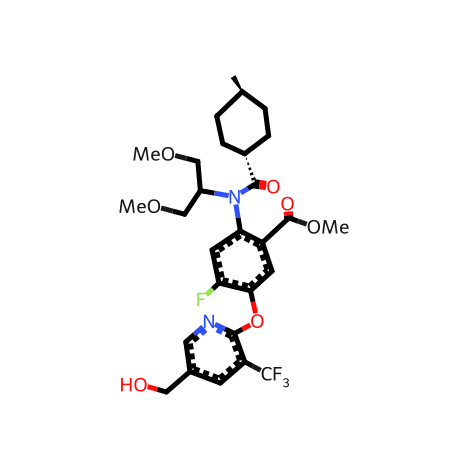 COCC(COC)N(c1cc(F)c(Oc2ncc(CO)cc2C(F)(F)F)cc1C(=O)OC)C(=O)[C@H]1CC[C@H](C)CC1